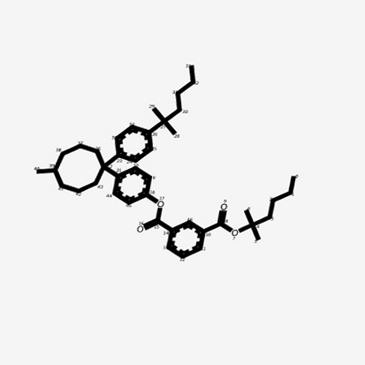 CCCCC(C)(C)OC(=O)c1cccc(C(=O)Oc2ccc(C3(c4ccc(C(C)(C)CCCC)cc4)CCCC(C)CCC3)cc2)c1